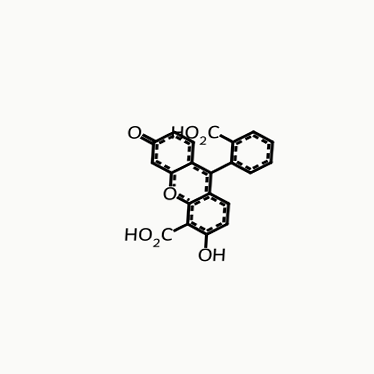 O=C(O)c1ccccc1-c1c2ccc(=O)cc-2oc2c(C(=O)O)c(O)ccc12